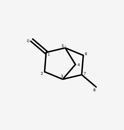 C=C1CC2C[C]1CC2C